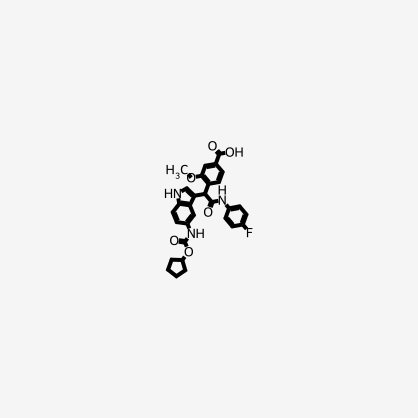 COc1cc(C(=O)O)ccc1C(C(=O)Nc1ccc(F)cc1)c1c[nH]c2ccc(NC(=O)OC3CCCC3)cc12